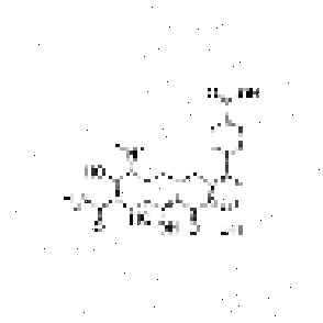 CN(C)C1C(O)=C(C(N)=O)CC2(O)C(O)=C3C(=O)c4c(O)ccc(-c5ccc(C(=O)O)cc5)c4CC3CC12